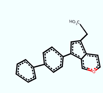 O=C(O)Cc1cc(-c2ccc(-c3ccccc3)cc2)c2coccc1-2